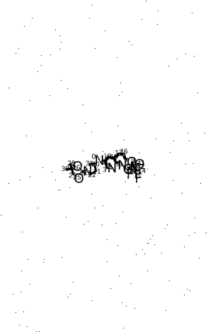 CN(c1cnc2nc(OS(=O)(=O)C(F)(F)F)ccc2c1)[C@@H]1CCN(C(=O)OC(C)(C)C)C1